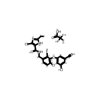 CCc1nc(Cl)c(C(=O)NCc2ccc(Cl)c(Oc3cc(Cl)cc(C#N)c3)c2F)[nH]1.O=C(O)C(F)(F)F